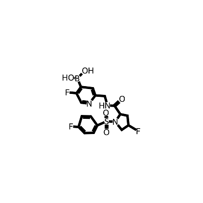 O=C(NCc1cc(B(O)O)c(F)cn1)C1CC(F)CN1S(=O)(=O)c1ccc(F)cc1